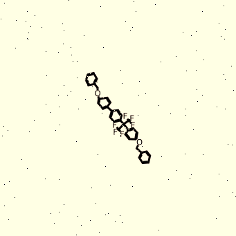 FC(F)(F)C(c1ccc(OCc2ccccc2)cc1)(c1ccc(-c2ccc(OCc3ccccc3)cc2)cc1)C(F)(F)F